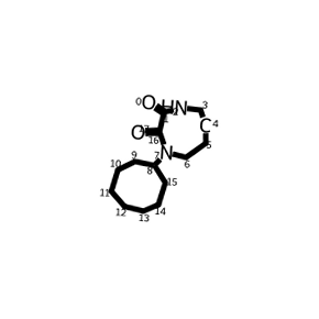 O=C1NCCCCN(C2CCCCCCC2)C1=O